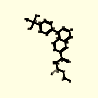 COC[C@H](C)NC(=O)c1ccc2c(-c3ccc(C(F)(F)F)cc3)cccc2c1